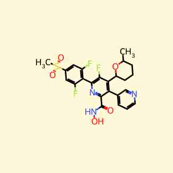 CC1CCCC(c2c(F)c(-c3c(F)cc(S(C)(=O)=O)cc3F)nc(C(=O)NO)c2-c2cccnc2)O1